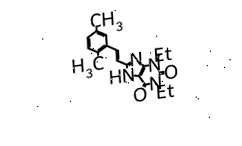 CCn1c(=O)c2[nH]c(C=Cc3cc(C)ccc3C)nc2n(CC)c1=O